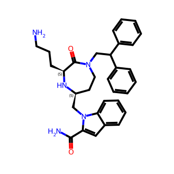 NCCC[C@@H]1N[C@H](Cn2c(C(N)=O)cc3ccccc32)CCN(CC(c2ccccc2)c2ccccc2)C1=O